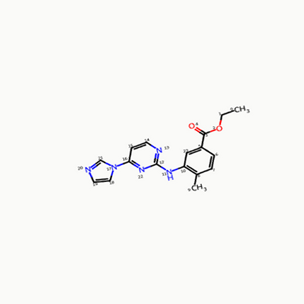 CCOC(=O)c1ccc(C)c(Nc2nccc(-n3ccnc3)n2)c1